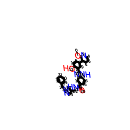 COc1ncccc1-c1ccc(O)c(-c2nc3cc(C(=O)NCc4cnn(Cc5ccccc5)c4)ccc3[nH]2)c1